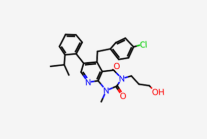 CC(C)c1ccccc1-c1cnc2c(c1Cc1ccc(Cl)cc1)c(=O)n(CCCO)c(=O)n2C